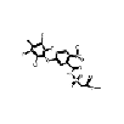 COC(=O)CS(=O)(=O)NC(=O)c1cc(Oc2c(F)c(F)c(C)c(F)c2Cl)ccc1[N+](=O)[O-]